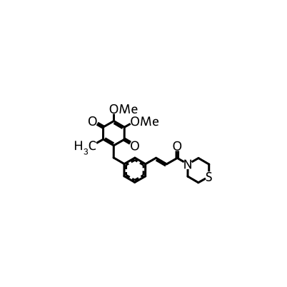 COC1=C(OC)C(=O)C(Cc2cccc(/C=C/C(=O)N3CCSCC3)c2)=C(C)C1=O